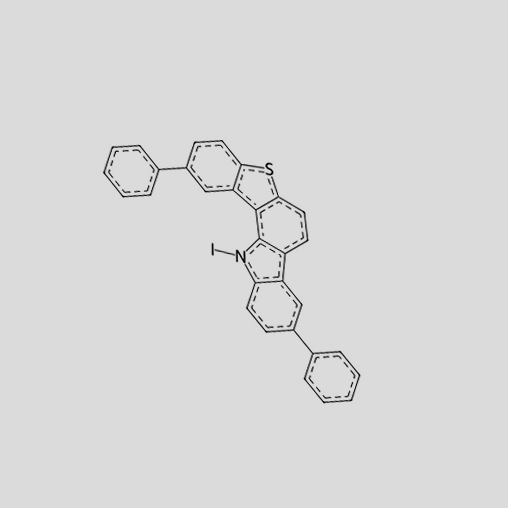 In1c2ccc(-c3ccccc3)cc2c2ccc3sc4ccc(-c5ccccc5)cc4c3c21